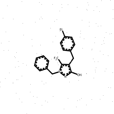 CCc1ccc(Cc2c(O)nn(Cc3ccccc3)c2C(F)(F)F)cc1